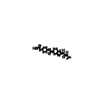 CC(C)NC(=O)Nc1ccc2c(c1)CCN(C(=O)OC1CCC(CC(=O)O)CC1)C2